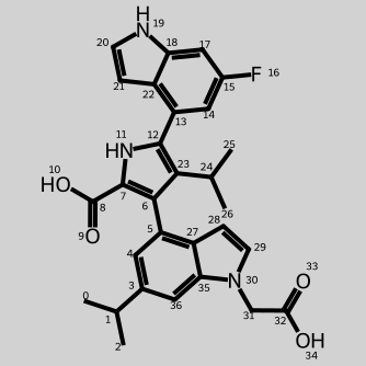 CC(C)c1cc(-c2c(C(=O)O)[nH]c(-c3cc(F)cc4[nH]ccc34)c2C(C)C)c2ccn(CC(=O)O)c2c1